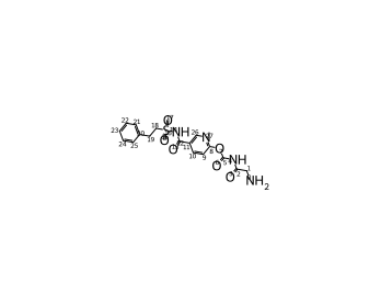 NCC(=O)NC(=O)Oc1ccc(C(=O)NS(=O)(=O)CCc2ccccc2)cn1